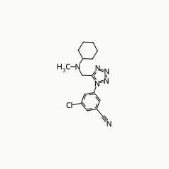 CN(Cc1nnnn1-c1cc(Cl)cc(C#N)c1)C1CCCCC1